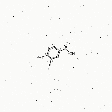 [2H]c1ccc(C(=O)O)cc1F